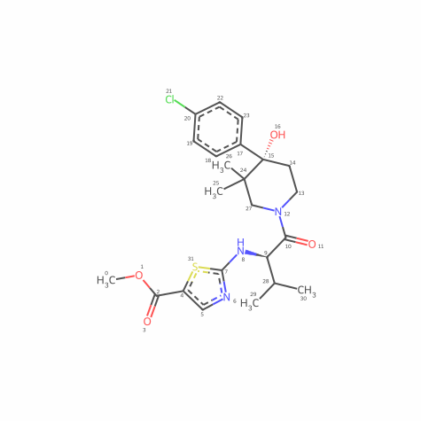 COC(=O)c1cnc(N[C@@H](C(=O)N2CC[C@](O)(c3ccc(Cl)cc3)C(C)(C)C2)C(C)C)s1